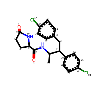 CC(NC(=O)C1CCC(=O)N1)C(Cc1ccc(Cl)cc1)c1ccc(Cl)cc1